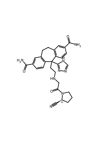 N#C[C@@H]1CCCN1C(=O)CNCCC1(c2nnc[nH]2)c2ccc(C(N)=O)cc2CCc2cc(C(N)=O)ccc21